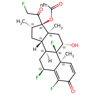 CCCC(=O)O[C@]1(C(=O)CF)[C@@H](C)C[C@H]2[C@@H]3C[C@H](F)C4=C(F)C(=O)C=C[C@]4(C)[C@@]3(F)[C@@H](O)C[C@@]21C